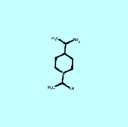 BC(C)C1CCN(C(C)S)CC1